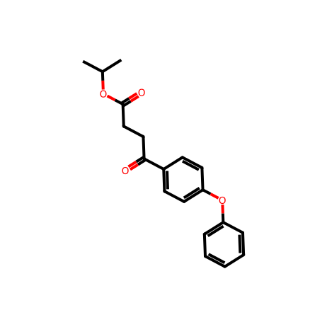 CC(C)OC(=O)CCC(=O)c1ccc(Oc2ccccc2)cc1